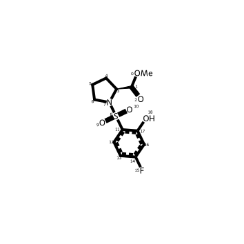 COC(=O)[C@@H]1CCCN1S(=O)(=O)c1ccc(F)cc1O